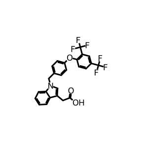 O=C(O)Cc1cn(Cc2ccc(Oc3ccc(C(F)(F)F)cc3C(F)(F)F)cc2)c2ccccc12